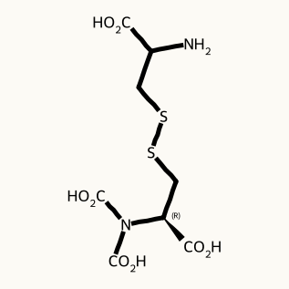 NC(CSSC[C@@H](C(=O)O)N(C(=O)O)C(=O)O)C(=O)O